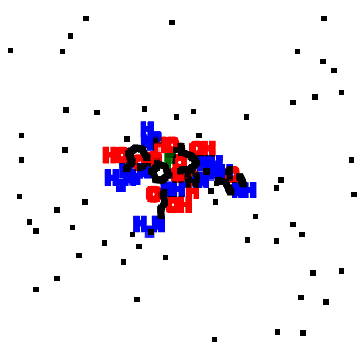 N=C(NC[C@@H]1CNCCO1)NC1C(O)[C@@H](CO)OC(OC2C(F)[C@H](O[C@H]3OC(CN)[C@@H](O)CC3N)C(N)C[C@H]2NC(=O)[C@@H](O)CCN)[C@@H]1O